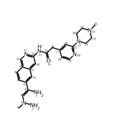 CN(N)/C=C(\N)c1ccc2cnc(NC(=O)Cc3ccnc(N4CCN(C)CC4)c3)cc2c1